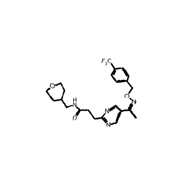 CC(=NOCc1ccc(C(F)(F)F)cc1)c1cnc(CCC(=O)NCC2CCOCC2)nc1